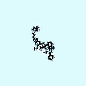 Cc1nc2nn(CCCN3CCC(F)(F)C3)cc2cc1-n1nc(-c2cccc3nn(C[C@H](O)c4ccccc4)cc23)c(C(C)C)c1C